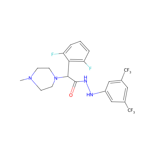 CN1CCN(C(C(=O)NNc2cc(C(F)(F)F)cc(C(F)(F)F)c2)c2c(F)cccc2F)CC1